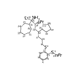 CCCSc1ccccc1SCCCC(CC(CCC)C(N)(CC)C1CCCCCC1)C1CCCC1